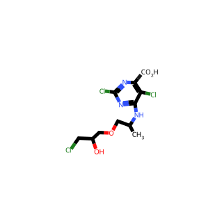 CC(COCC(O)CCl)Nc1nc(Cl)nc(C(=O)O)c1Cl